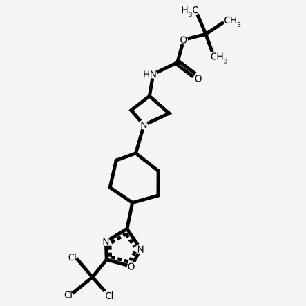 CC(C)(C)OC(=O)NC1CN(C2CCC(c3noc(C(Cl)(Cl)Cl)n3)CC2)C1